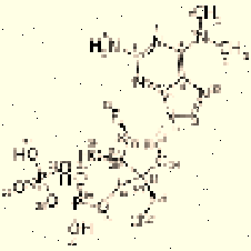 CN(C)c1nc(N)nc2c1ncn2[C@@H]1O[C@]2(CCl)C(OP(=O)(O)OP(=O)(O)O)[C@]2(O)[C@H]1F